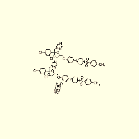 Cc1ccc(S(=O)(=O)N2CCN(c3ccc(OCC4COC(Cn5cncn5)(c5ccc(Cl)cc5Cl)O4)cc3)CC2)cc1.Cc1ccc(S(=O)(=O)N2CCN(c3ccc(OCC4COC(Cn5cncn5)(c5ccc(Cl)cc5Cl)O4)cc3)CC2)cc1.Cl.Cl.Cl.Cl.O